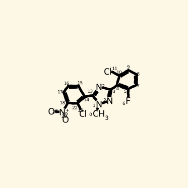 Cn1nc(-c2c(F)cccc2Cl)nc1-c1cccc([N+](=O)[O-])c1Cl